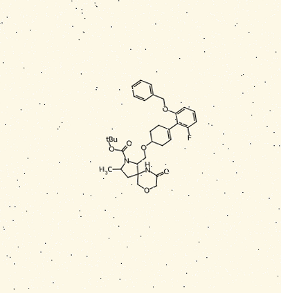 CC1CC2(COCC(=O)N2)C(COC2CC=C(c3c(F)cccc3OCc3ccccc3)CC2)N1C(=O)OC(C)(C)C